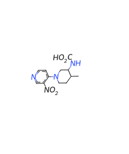 CC1CCN(c2ccncc2[N+](=O)[O-])CC1NC(=O)O